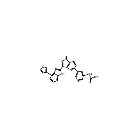 CCCC(=O)Nc1cncc(-c2ccc3[nH]nc(-c4nc5c(-c6ccoc6)cccc5[nH]4)c3n2)c1